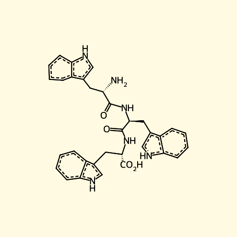 N[C@@H](Cc1c[nH]c2ccccc12)C(=O)N[C@@H](Cc1c[nH]c2ccccc12)C(=O)N[C@@H](Cc1c[nH]c2ccccc12)C(=O)O